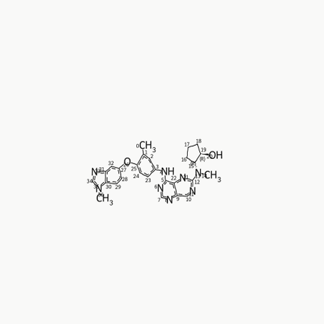 Cc1cc(Nc2ncnc3cnc(N(C)[C@@H]4CCC[C@H]4O)nc23)ccc1Oc1ccc2c(c1)ncn2C